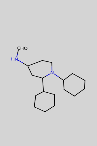 O=CNC1CCN(C2CCCCC2)C(C2CCCCC2)C1